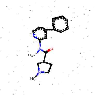 CN(C(=O)C1CCN(C#N)C1)c1cc(-c2ccccc2)ccn1